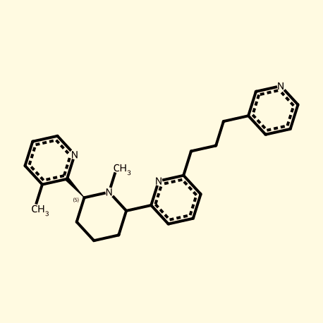 Cc1cccnc1[C@@H]1CCCC(c2cccc(CCCc3cccnc3)n2)N1C